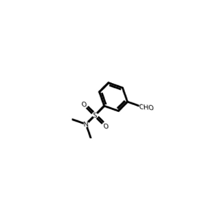 CN(C)S(=O)(=O)c1cccc(C=O)c1